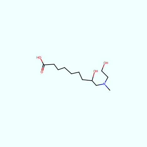 CN(CCO)CC(O)CCCCCCC(=O)O